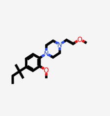 CCC(C)(C)c1ccc(N2CCN(CCOC)CC2)c(OC)c1